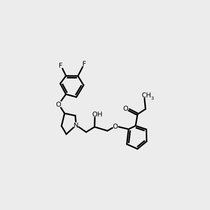 CCC(=O)c1ccccc1OCC(O)CN1CCC(Oc2ccc(F)c(F)c2)C1